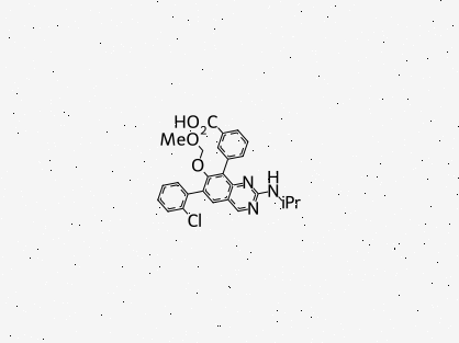 COCOc1c(-c2ccccc2Cl)cc2cnc(NC(C)C)nc2c1-c1cccc(C(=O)O)c1